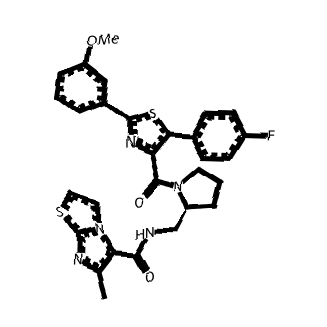 COc1cccc(-c2nc(C(=O)N3CCC[C@H]3CNC(=O)c3c(C)nc4sccn34)c(-c3ccc(F)cc3)s2)c1